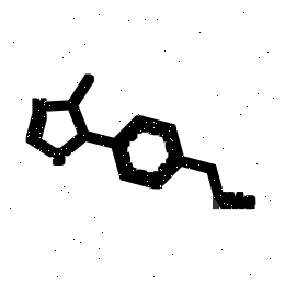 CNCc1ccc(C2SC=NC2C)cc1